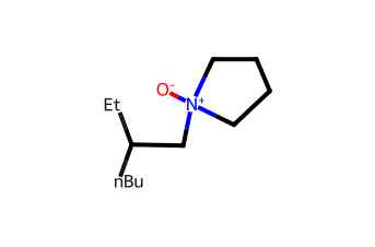 CCCCC(CC)C[N+]1([O-])CCCC1